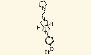 CCOc1ccc(N2C[C@H]3CN(CCN4CCCC4)C[C@H]3C2)cc1